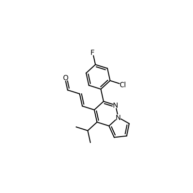 CC(C)c1c(/C=C/C=O)c(-c2ccc(F)cc2Cl)nn2cccc12